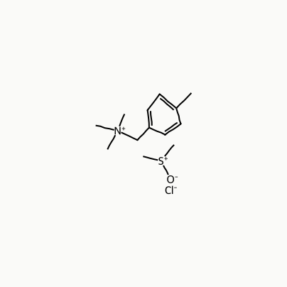 C[S+](C)[O-].Cc1ccc(C[N+](C)(C)C)cc1.[Cl-]